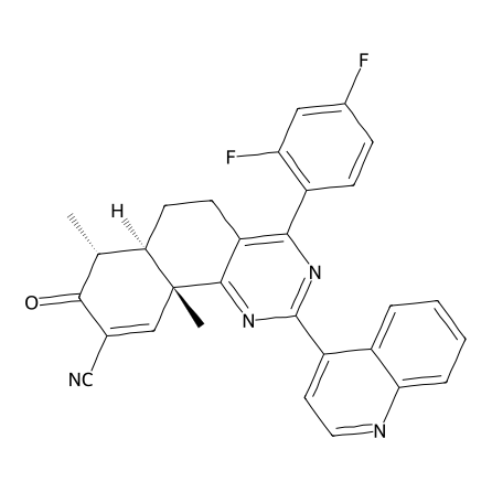 C[C@H]1C(=O)C(C#N)=C[C@@]2(C)c3nc(-c4ccnc5ccccc45)nc(-c4ccc(F)cc4F)c3CC[C@H]12